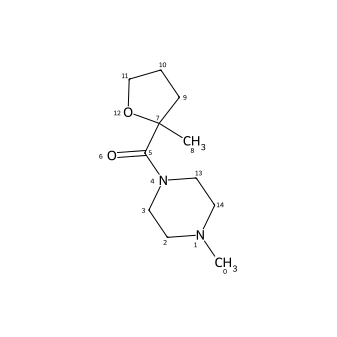 CN1CCN(C(=O)C2(C)CCCO2)CC1